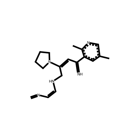 C=N/C=C\NC/C(=C\C(=N)c1cc(C)cnc1C)N1CCCC1